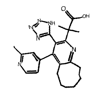 Cc1cc(-c2c3c(nc(C(C)(C)C(=O)O)c2-c2nnn[nH]2)CCCCC3)ccn1